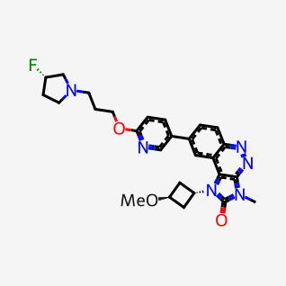 CO[C@H]1C[C@H](n2c(=O)n(C)c3nnc4ccc(-c5ccc(OCCCN6CC[C@H](F)C6)nc5)cc4c32)C1